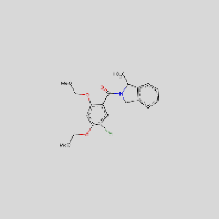 COCOc1cc(OCOC)c(C(=O)N2Cc3ccccc3C2C(=O)O)cc1Cl